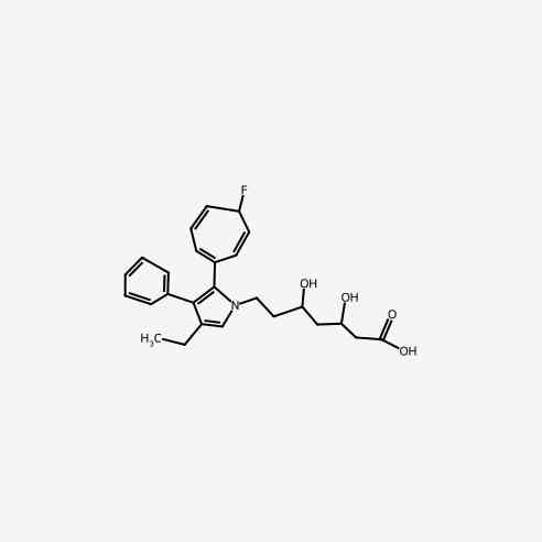 CCc1cn(CCC(O)CC(O)CC(=O)O)c(C2=CC=CC(F)C=C2)c1-c1ccccc1